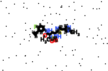 CN1C(C(=O)Nc2ccc(F)c(C3CC3)c2)CC(c2ncc(-c3cnn(C)c3)s2)NS1(=O)=O